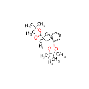 CC(C)(C)OC(=O)C(C)(C)Cc1ccccc1B1OC(C)(C)C(C)(C)O1